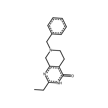 CCc1nc2c(c(=O)[nH]1)CCN(Cc1ccccc1)C2